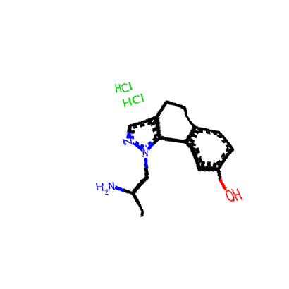 CC(N)Cn1ncc2c1-c1cc(O)ccc1CC2.Cl.Cl